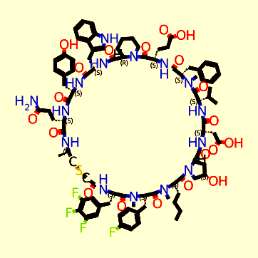 CCCC[C@H]1C(=O)N2C[C@@H](O)C[C@@H]2C(=O)N[C@@H](CC(=O)O)C(=O)N[C@@H](C(C)C)C(=O)N(C)[C@@H](Cc2ccccc2)C(=O)N[C@@H](CCC(=O)O)C(=O)N2CCCC[C@@H]2C(=O)N[C@@H](Cc2c[nH]c3ccccc23)C(=O)N[C@@H](Cc2ccc(O)cc2)C(=O)N[C@@H](CCC(N)=O)C(=O)N[C@H](C)CSCC(=O)N[C@@H](Cc2cc(F)c(F)c(F)c2)C(=O)N(C)[C@@H](Cc2ccc(F)cc2)C(=O)N1C